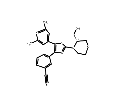 Cc1cc(-c2sc(N3CCOC[C@H]3CO)nc2-c2cccc(C#N)c2)cc(C)n1